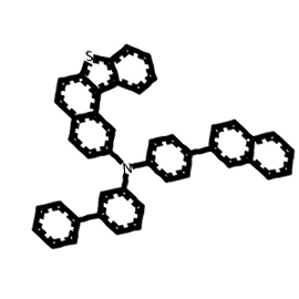 c1ccc(-c2cccc(N(c3ccc(-c4ccc5ccccc5c4)cc3)c3ccc4ccc5sc6ccccc6c5c4c3)c2)cc1